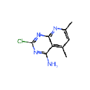 Cc1cc(C)c2c(N)nc(Cl)nc2n1